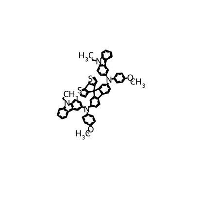 CCn1c2ccccc2c2cc(N(c3ccc(OC)cc3)c3ccc4c(c3)C3(c5cc(N(c6ccc(OC)cc6)c6ccc7c(c6)c6ccccc6n7CC)ccc5-4)c4ccsc4-c4sccc43)ccc21